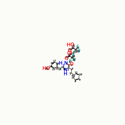 NC(=O)C(CCc1ccccc1)NCCc1cccc(O)c1.O=C(O)C(F)(F)F.O=C(O)C(F)(F)F